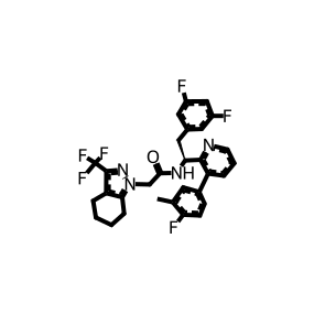 Cc1cc(-c2cccnc2[C@H](Cc2cc(F)cc(F)c2)NC(=O)Cn2nc(C(F)(F)F)c3c2CCCC3)ccc1F